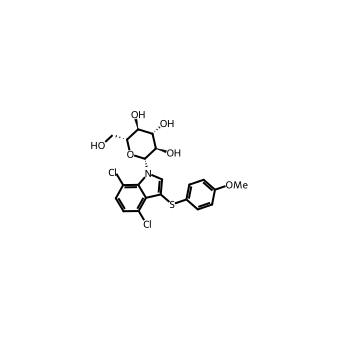 COc1ccc(Sc2cn([C@@H]3O[C@H](CO)[C@@H](O)[C@H](O)[C@H]3O)c3c(Cl)ccc(Cl)c23)cc1